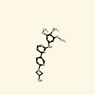 COc1cc(Nc2nccc(-c3ccc(N4CC(O)C4)nc3)n2)cc(OC)c1OC